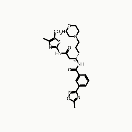 Cc1nc(-c2cccc(C(=O)N[C@@H](CCCN3CCOCC3)CC(=O)Nc3nc(C)c(C(=O)O)s3)c2)no1